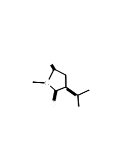 CC(C)=C1CC(=S)N(C)C1=O